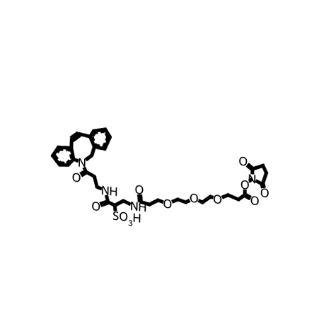 O=C(CCOCCOCCOCCC(=O)ON1C(=O)CCC1=O)NCC(C(=O)NCCC(=O)N1Cc2ccccc2C#Cc2ccccc21)S(=O)(=O)O